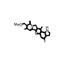 C=C1C(COC)=C(C)C=C2c3nc4cc(F)c5c(c4c(C)c3CN12)NCC5